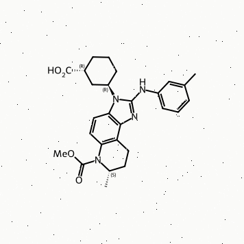 COC(=O)N1c2ccc3c(nc(Nc4cccc(C)c4)n3[C@@H]3CCC[C@@H](C(=O)O)C3)c2CC[C@@H]1C